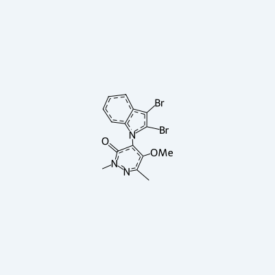 COc1c(C)nn(C)c(=O)c1-n1c(Br)c(Br)c2ccccc21